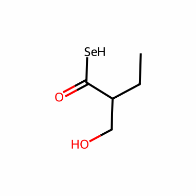 CCC(CO)C(=O)[SeH]